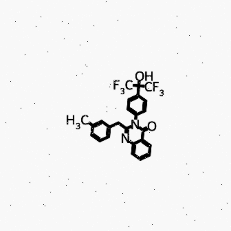 Cc1cccc(Cc2nc3ccccc3c(=O)n2-c2ccc(C(O)(C(F)(F)F)C(F)(F)F)cc2)c1